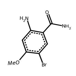 COc1cc(N)c(C(N)=O)cc1Br